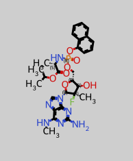 CNc1nc(N)nc2c1ncn2[C@@H]1O[C@H](CO[P@](=O)(N[C@@H](C)C(=O)OC(C)C)Oc2cccc3ccccc23)[C@@H](O)[C@@]1(C)F